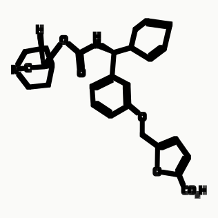 O=C(N[C@H](c1cccc(OCc2ccc(C(=O)O)o2)c1)C1C=CC=CC1)O[C@H]1CN2CCC1CC2